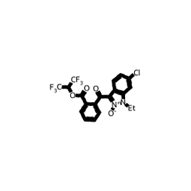 CCn1c2cc(Cl)ccc2c(C(=O)c2ccccc2C(=O)OC(C(F)(F)F)C(F)(F)F)[n+]1[O-]